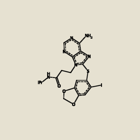 CC(C)NC(=O)CCn1c(Sc2cc3c(cc2I)OCO3)nc2c(N)ncnc21